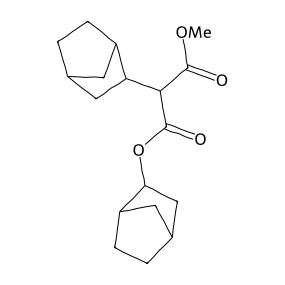 COC(=O)C(C(=O)OC1CC2CCC1C2)C1CC2CCC1C2